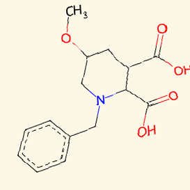 COC1CC(C(=O)O)C(C(=O)O)N(Cc2ccccc2)C1